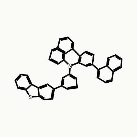 c1ccc(-c2ccc(-c3cccc4ccccc34)cc2N(c2ccccc2)c2cccc(-c3ccc4sc5ccccc5c4c3)c2)cc1